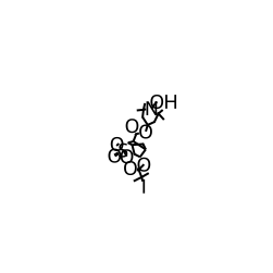 CC(C)(I)C(=O)OC1C2CC3C1OS(=O)(=O)C3C2C(=O)OC1CC(C)(C)N(O)C(C)(C)C1